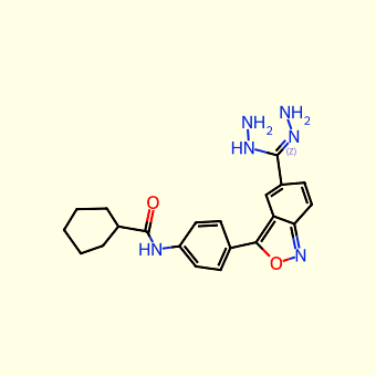 N/N=C(\NN)c1ccc2noc(-c3ccc(NC(=O)C4CCCCC4)cc3)c2c1